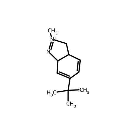 C[N+]1=NC2C=C(C(C)(C)C)C=CC2C1